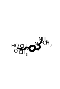 C[C@@H](N)c1ccc2ccc(/C=C/C(C)(C)C(=O)O)cc2n1